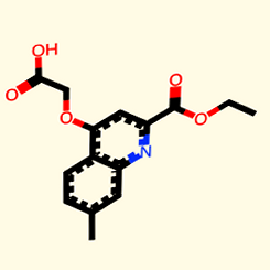 CCOC(=O)c1cc(OCC(=O)O)c2ccc(C)cc2n1